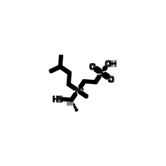 CC(C)CC[N+](C)(CCS(=O)(=O)O)[C@H](C)S